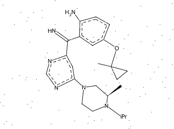 CC(C)N1CCN(c2cc(C(=N)c3cc(OC4(C)CC4)ccc3N)ncn2)C[C@H]1C